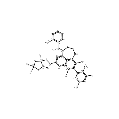 Cc1cc(N)nc(-c2c(Cl)c3c4c(nc(OC[C@]5(C)CC(F)(F)CN5C)nc4c2F)N([C@H](C)c2cccnc2N)CCO3)c1C(F)(F)F